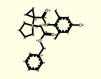 Cc1cc(Cl)cc(C)c1NC(=O)C1([N+]2(CC(=O)OCc3ccccc3)CCCC2)CC1